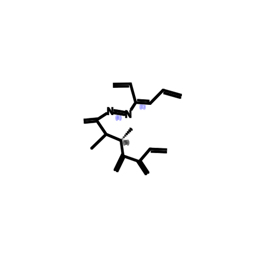 C=C/C=C(C=C)/N=N/C(=C)C(C)[C@H](C)C(=C)C(=C)C=C